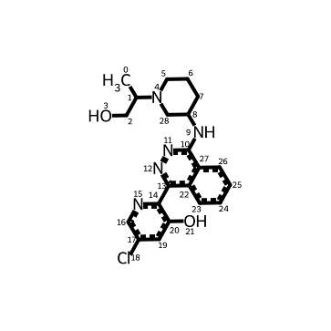 CC(CO)N1CCCC(Nc2nnc(-c3ncc(Cl)cc3O)c3ccccc23)C1